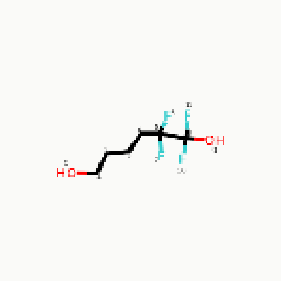 OCCCCC(F)(F)C(O)(F)F